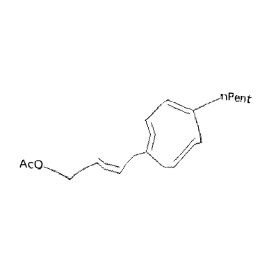 CCCCCc1ccc(C=CCOC(C)=O)cc1